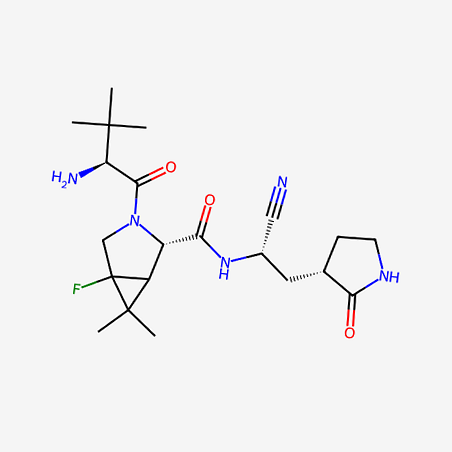 CC(C)(C)[C@H](N)C(=O)N1CC2(F)C([C@H]1C(=O)N[C@H](C#N)C[C@@H]1CCNC1=O)C2(C)C